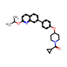 CC(C)Oc1ccc2ccc(-c3ccc(OC4CCN(C(=O)C5CC5)CC4)cc3)cc2n1